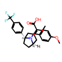 CCC(C(=O)O)=C1C[C@H]2CC[C@@](c3ccc(C(F)(F)F)cc3)(C1)N2Cc1ccc(OC)cc1